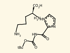 CC(C)(C)OC(=O)NC(=O)c1ncc[nH]1.NCCC[C@H](N)C(=O)O